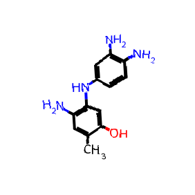 Cc1cc(N)c(Nc2ccc(N)c(N)c2)cc1O